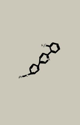 Cc1ccccc1-c1ccc(-c2ccc(CC(C)C)cc2)cn1